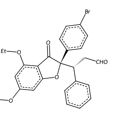 CCOc1cc(OCC)c2c(c1)O[C@@](c1ccc(Br)cc1)([C@H](CC=O)c1ccccc1)C2=O